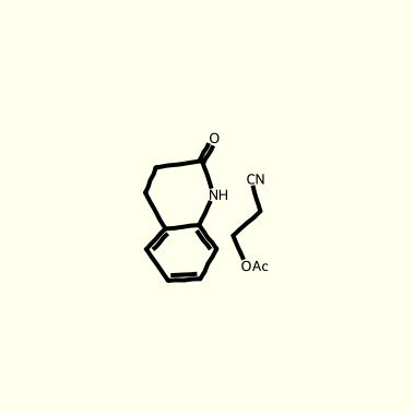 CC(=O)OCCC#N.O=C1CCc2ccccc2N1